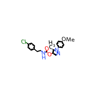 COc1ccc(-n2ncc(OC(=O)NCCc3ccc(Cl)cc3)c2C)cc1